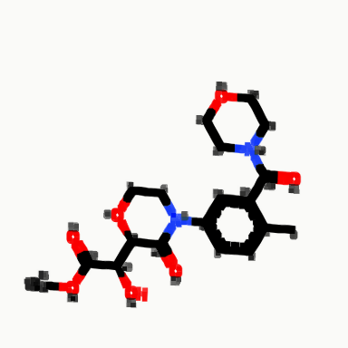 Cc1ccc(N2CCO[C@H]([C@@H](O)C(=O)OC(C)(C)C)C2=O)cc1C(=O)N1CCOCC1